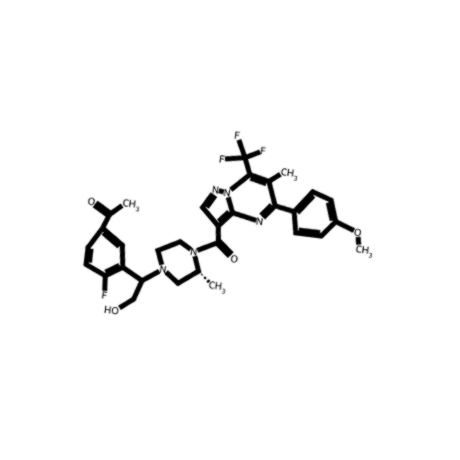 COc1ccc(-c2nc3c(C(=O)N4CCN(C(CO)c5cc(C(C)=O)ccc5F)C[C@H]4C)cnn3c(C(F)(F)F)c2C)cc1